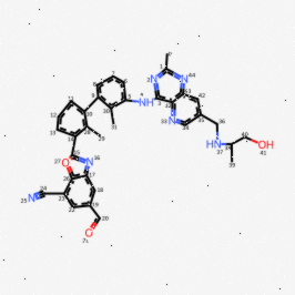 Cc1nc(Nc2cccc(-c3cccc(-c4nc5cc(C=O)cc(C#N)c5o4)c3C)c2C)c2ncc(CNC(C)CO)cc2n1